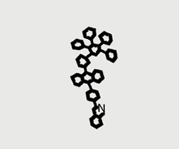 c1ccc(-c2cc(-c3cccc(-c4c5ccccc5c(-c5ccc(-c6cc7ccccc7cn6)cc5)c5ccccc45)c3)c(-c3ccccc3)c(-c3ccccc3)c2-c2ccccc2)cc1